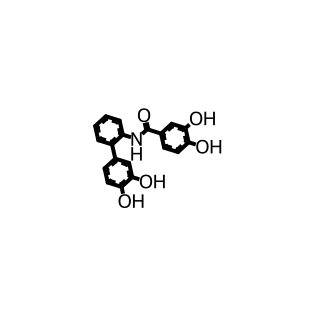 O=C(Nc1ccccc1-c1ccc(O)c(O)c1)c1ccc(O)c(O)c1